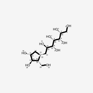 OC[C@@H](O)[C@H](O)[C@@H](O)[C@H](O)[C@H](O)C[S@+]1C[C@@H](O)[C@H](O)[C@H]1CO